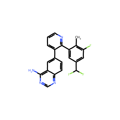 Cc1c(F)cc(C(F)F)cc1-c1ncccc1-c1ccc2ncnc(N)c2c1